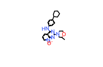 CC1CN(c2nc(Nc3ccc(C4CCCCC4)cc3)c3ccc[n+]([O-])c3n2)CCO1